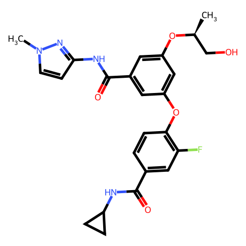 C[C@@H](CO)Oc1cc(Oc2ccc(C(=O)NC3CC3)cc2F)cc(C(=O)Nc2ccn(C)n2)c1